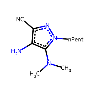 CCCCCn1nc(C#N)c(N)c1N(C)C